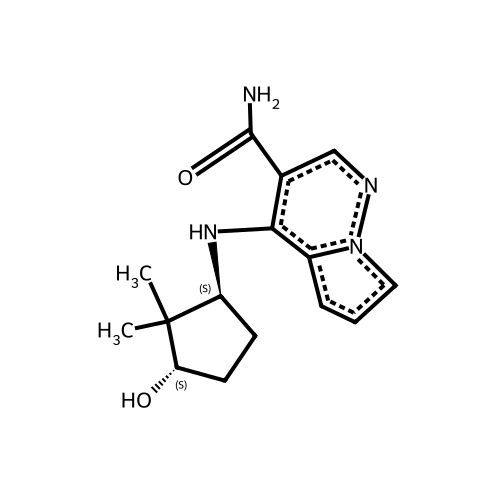 CC1(C)[C@@H](Nc2c(C(N)=O)cnn3cccc23)CC[C@@H]1O